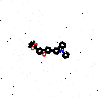 CC1(C)OB(c2ccc3oc4cc(-c5ccc6c(c5)c5ccccc5n6-c5ccccc5)ccc4c3c2)OC1(C)C